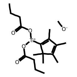 CCCC(=O)[O][Ti+]([O]C(=O)CCC)[C]1=C(C)C(C)=C(C)C1(C)C.C[O-]